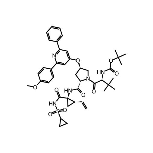 C=C[C@@H]1C[C@]1(NC(=O)[C@@H]1C[C@@H](Oc2cc(-c3ccccc3)nc(-c3ccc(OC)cc3)c2)CN1C(=O)[C@@H](NC(=O)OC(C)(C)C)C(C)(C)C)C(=O)NS(=O)(=O)C1CC1